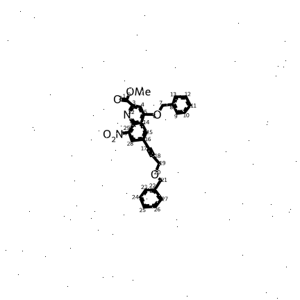 COC(=O)c1cc(OCc2ccccc2)c2cc(C#CCOCc3ccccc3)cc([N+](=O)[O-])c2n1